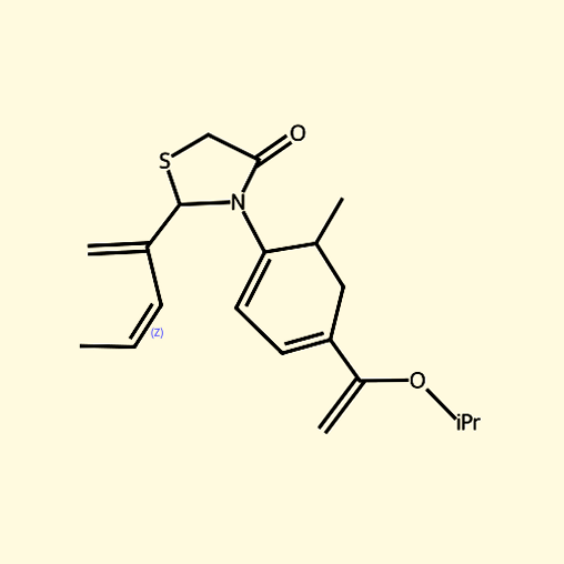 C=C(OC(C)C)C1=CC=C(N2C(=O)CSC2C(=C)/C=C\C)C(C)C1